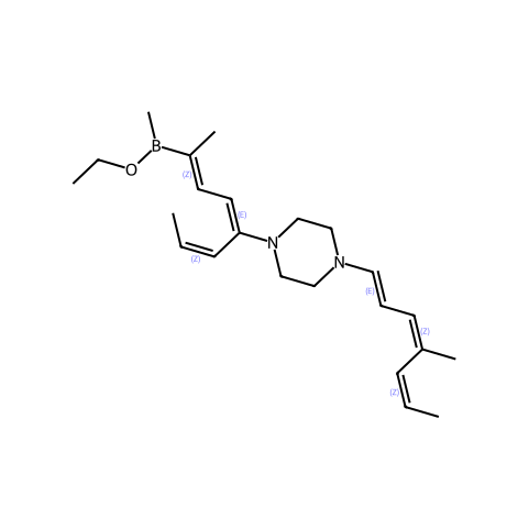 C\C=C/C(C)=C\C=C\N1CCN(C(/C=C\C)=C/C=C(\C)B(C)OCC)CC1